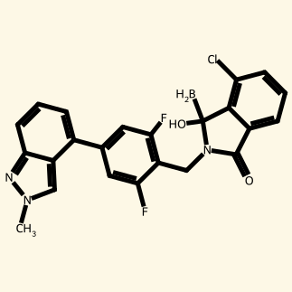 BC1(O)c2c(Cl)cccc2C(=O)N1Cc1c(F)cc(-c2cccc3nn(C)cc23)cc1F